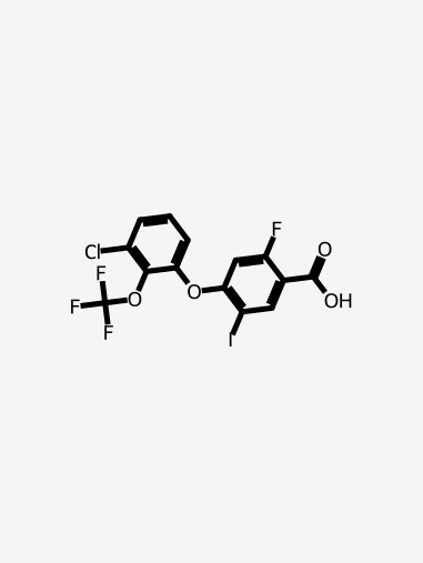 O=C(O)c1cc(I)c(Oc2cccc(Cl)c2OC(F)(F)F)cc1F